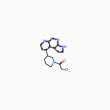 O=C(CC(F)(F)F)N1CCCC(c2ccnc3cnc4[nH]ccc4c23)C1